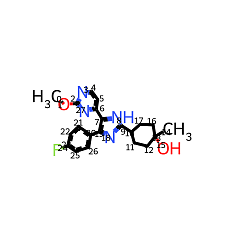 COc1nccc(-c2[nH]c(C3CCC(C)(O)CC3)nc2-c2ccc(F)cc2)n1